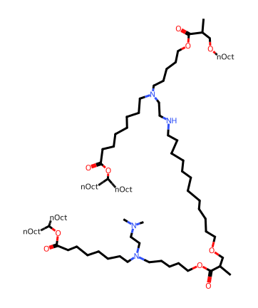 CCCCCCCCOCC(C)C(=O)OCCCCCN(CCCCCCCC(=O)OC(CCCCCCCC)CCCCCCCC)CCNCCCCCCCCCCCCOCC(C)C(=O)OCCCCCN(CCCCCCCC(=O)OC(CCCCCCCC)CCCCCCCC)CCN(C)C